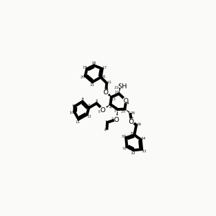 CCO[C@@H]1[C@H](OCc2ccccc2)[C@@H](OCc2ccccc2)[C@H](S)O[C@@H]1COCc1ccccc1